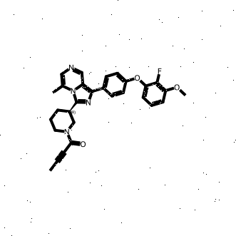 CC#CC(=O)N1CCC[C@@H](c2nc(-c3ccc(Oc4cccc(OC)c4F)cc3)c3cncc(C)n23)C1